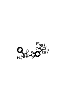 CCNC(=O)C(O)(c1ccc2nc(NC(=O)[C@@H](N)c3ccccc3)sc2c1)C(F)(F)F